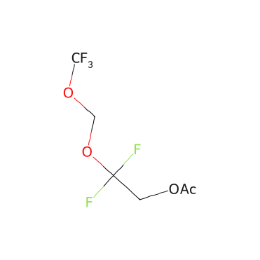 CC(=O)OCC(F)(F)OCOC(F)(F)F